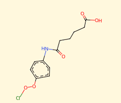 O=C(O)CCCCC(=O)Nc1ccc(OOCl)cc1